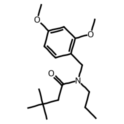 CCCN(Cc1ccc(OC)cc1OC)C(=O)CC(C)(C)C